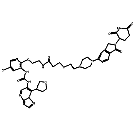 O=C(CCOCCN1CCN(c2ccc3c(c2)CN(C2CCC(=O)NC2=O)C3=O)CC1)NCCOc1ncc(Cl)cc1NC(=O)Nc1cnc2ccnn2c1C1CCOC1